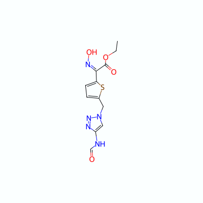 CCOC(=O)C(=NO)c1ccc(Cn2cc(NC=O)nn2)s1